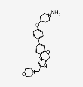 NN1CCC(Oc2ccc(-c3ccc4c(c3)OCc3nc(CN5CCOCC5)cn3-4)cc2)CC1